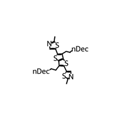 CCCCCCCCCCCCc1c(-c2cnc(C)s2)sc2c(CCCCCCCCCCCC)c(-c3cnc(C)s3)sc12